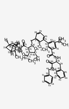 COc1c(CN2O[C@@H](CO)[C@@H]([C@H](C)O)[C@H]2C(=O)N[C@H]2C[C@H]3C[C@@H]([C@@H]2C)C3(C)C)cccc1-c1cc(C(=O)NC(Cc2ccccc2)C(=O)NCc2ccccc2)cc(N(C)C)c1